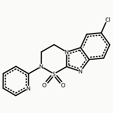 O=S1(=O)c2nc3ccc(Cl)cc3n2CCN1c1ccccn1